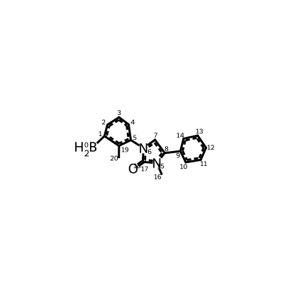 Bc1cccc(-n2cc(-c3ccccc3)n(C)c2=O)c1C